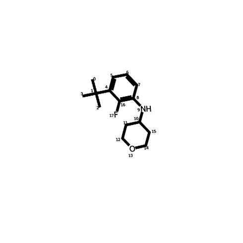 CC(C)(C)c1cccc(NC2CCOCC2)c1F